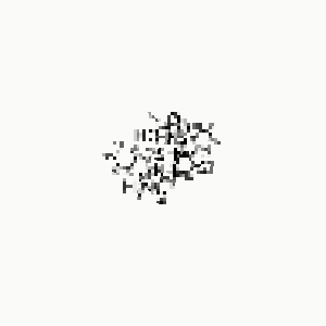 C[C@H](O)C(=O)NS(=O)(=O)c1ccccc1-c1ccc(CC(NC(=O)[C@@H](CS)C2CCCCC2)C(N)=O)cc1Cl